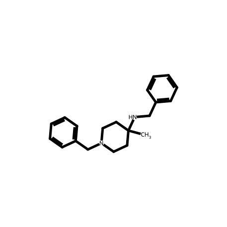 CC1(NCc2ccccc2)CCN(Cc2ccccc2)CC1